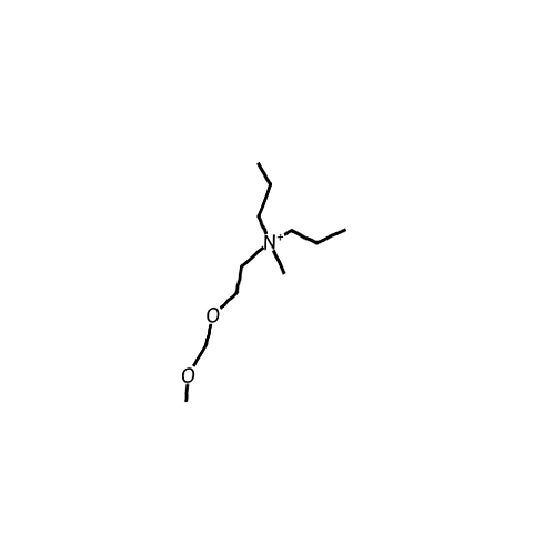 CCC[N+](C)(CCC)CCOCOC